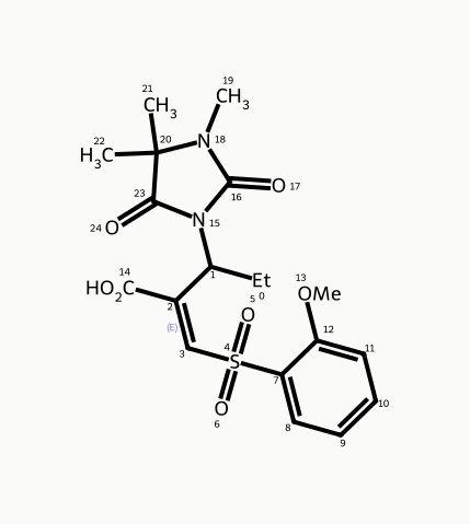 CCC(/C(=C\S(=O)(=O)c1ccccc1OC)C(=O)O)N1C(=O)N(C)C(C)(C)C1=O